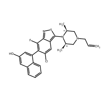 C=CCN1C[C@@H](C)N(c2snc3c(F)c(-c4cc(O)cc5ccccc45)c(Cl)cc23)[C@@H](C)C1